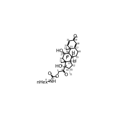 CCCCCCNC(=O)OCC(=O)[C@]1(O)[C@@H](C)C[C@@H]2[C@H]3CCC4=CC(=O)C=C[C@@]4(C)[C@]3(F)[C@H](O)C[C@]21C